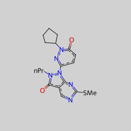 CCCn1c(=O)c2cnc(SC)nc2n1-c1ccc(=O)n(C2CCCC2)n1